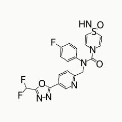 N=S1(=O)C=CN(C(=O)N(Cc2ccc(-c3nnc(C(F)F)o3)cn2)c2ccc(F)cc2)C=C1